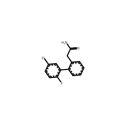 NC(=O)Cc1ccccc1-c1cc(Cl)ccc1F